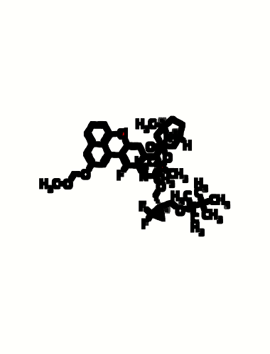 COCOc1cc(-c2c(F)cc3c(N4C[C@H]5CC[C@@](C)(C4)N5C(=O)OC(C)(C)C)nc(OC[C@]4(CO[Si](C)(C)C(C)(C)C)CC4(F)F)nc3c2F)c2c(Cl)cccc2c1